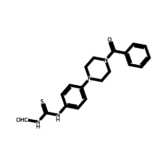 O=CNC(=S)Nc1ccc(N2CCN(C(=O)c3ccccc3)CC2)cc1